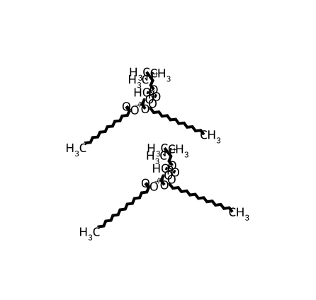 CCCCCCCCCCCCCC(=O)OC[C@H](COP(=O)(O)OCC[N+](C)(C)C)OC(=O)CCCCCCCCCCCCC.CCCCCCCCCCCCCCCC(=O)OC[C@H](COP(=O)(O)OCC[N+](C)(C)C)OC(=O)CCCCCCCCCCCCCCC